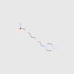 NC(=O)COCCCOCCN1CCNCC1